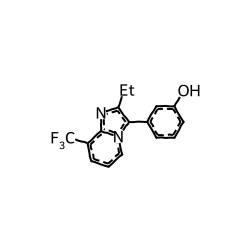 CCc1nc2c(C(F)(F)F)cccn2c1-c1cccc(O)c1